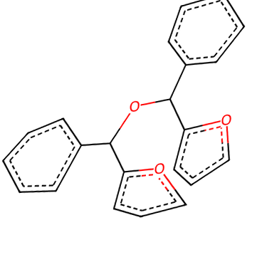 c1ccc(C(OC(c2ccccc2)c2ccco2)c2ccco2)cc1